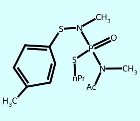 CCCSP(=O)(N(C)Sc1ccc(C)cc1)N(C)C(C)=O